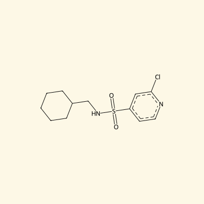 O=S(=O)(NCC1CCCCC1)c1ccnc(Cl)c1